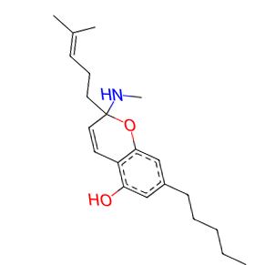 CCCCCc1cc(O)c2c(c1)OC(CCC=C(C)C)(NC)C=C2